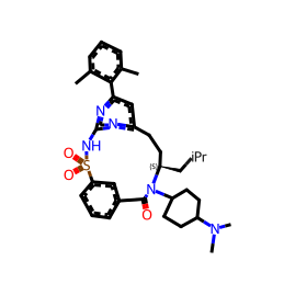 Cc1cccc(C)c1-c1cc2nc(n1)NS(=O)(=O)c1cccc(c1)C(=O)N(C1CCC(N(C)C)CC1)[C@H](CC(C)C)CC2